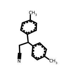 Cc1ccc(C(CC#N)c2ccc(C)cc2)cc1